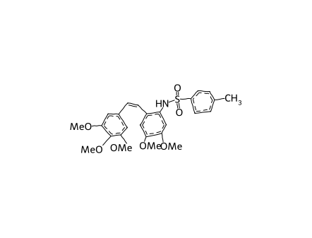 COc1cc(/C=C\c2cc(OC)c(OC)c(OC)c2)c(NS(=O)(=O)c2ccc(C)cc2)cc1OC